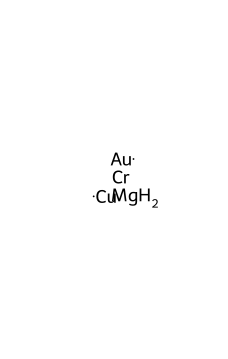 [Au].[Cr].[Cu].[MgH2]